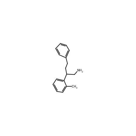 Cc1ccccc1C(CN)CCc1ccccc1